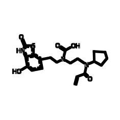 C=CC(=O)N(CCN(CCc1ccc(O)c2[nH]c(=O)sc12)C(=O)O)C1CCCC1